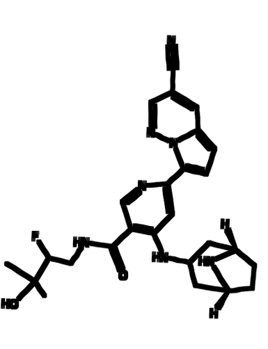 CC(C)(O)C(F)CNC(=O)c1cnc(-c2ccc3cc(C#N)cnn23)cc1NC1C[C@H]2CC[C@@H](C1)N2